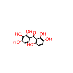 O=C(c1ccc(O)c(O)c1O)c1c(O)ccc(O)c1O